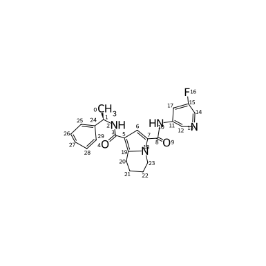 C[C@@H](NC(=O)c1cc(C(=O)Nc2cncc(F)c2)n2c1CCCC2)c1ccccc1